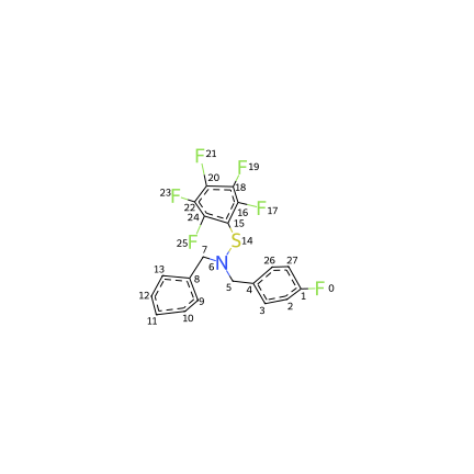 Fc1ccc(CN(Cc2ccccc2)Sc2c(F)c(F)c(F)c(F)c2F)cc1